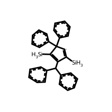 [SiH3]C1=[C]C(c2ccccc2)(c2ccccc2)C([SiH3])=C1C(c1ccccc1)c1ccccc1